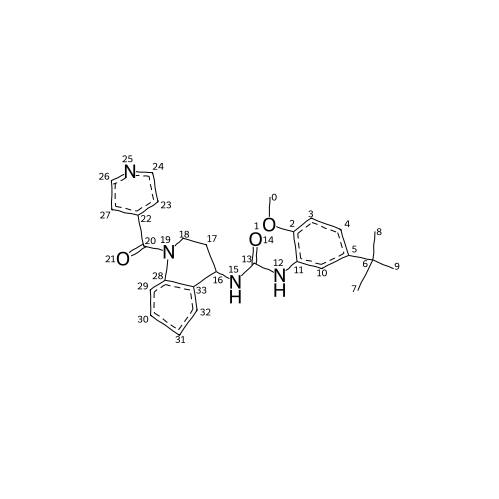 COc1ccc(C(C)(C)C)cc1NC(=O)NC1CCN(C(=O)c2ccncc2)c2ccccc21